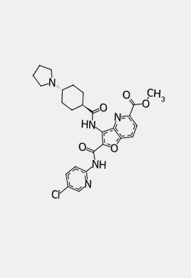 COC(=O)c1ccc2oc(C(=O)Nc3ccc(Cl)cn3)c(NC(=O)[C@H]3CC[C@H](N4CCCC4)CC3)c2n1